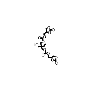 CCC(CO)(COC(=O)OCC1COC(=O)O1)COC(=O)OCC1COC(=O)O1